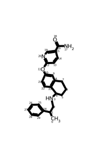 CC(CNC1CCCc2cc(Oc3ccc(C(N)=O)cn3)ccc21)c1ccccc1